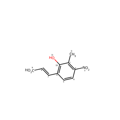 Cc1c([N+](=O)[O-])ccc(C=CC(=O)O)c1O